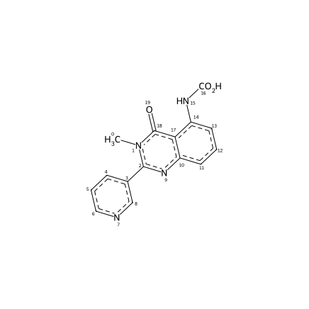 Cn1c(-c2cccnc2)nc2cccc(NC(=O)O)c2c1=O